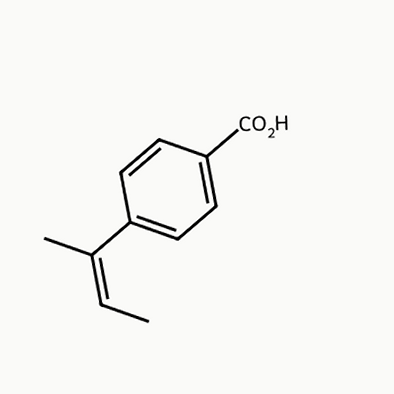 C/C=C(/C)c1ccc(C(=O)O)cc1